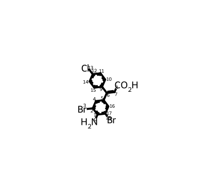 Nc1c(Br)cc(C(=CC(=O)O)c2ccc(Cl)cc2)cc1Br